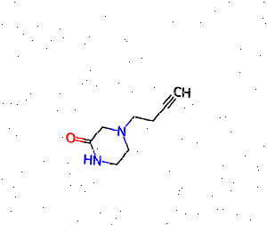 C#CCCN1CCNC(=O)C1